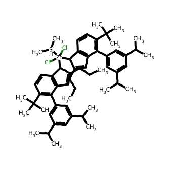 CCCC1=Cc2c(ccc(C(C)(C)C)c2-c2cc(C(C)C)cc(C(C)C)c2)[CH]1[Zr]([Cl])([Cl])([CH]1C(CCC)=Cc2c1ccc(C(C)(C)C)c2-c1cc(C(C)C)cc(C(C)C)c1)[SiH](C)C